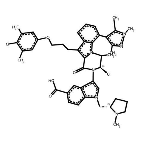 Cc1cc(OCCCc2c3n(c4c(-c5c(C)nn(C)c5C)cccc24)C(C)[C@@H](Cl)N(c2cn(C[C@@H]4CCCN4C)c4ccc(C(=O)O)cc24)C3=O)cc(C)c1Cl